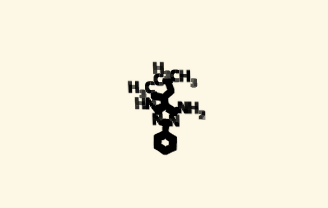 Cc1[nH]c2nc(-c3ccccc3)nc(N)c2c1CC(C)C